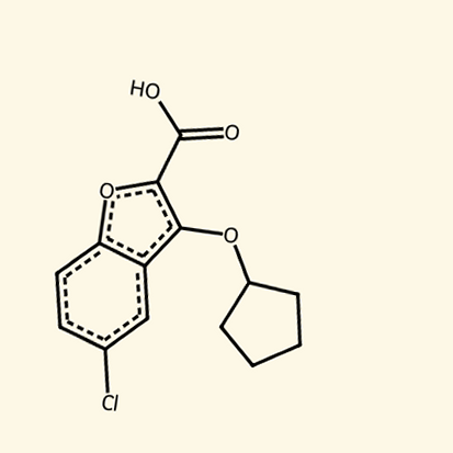 O=C(O)c1oc2ccc(Cl)cc2c1OC1CCCC1